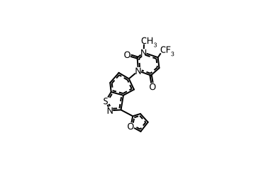 Cn1c(C(F)(F)F)cc(=O)n(-c2ccc3snc(-c4ccco4)c3c2)c1=O